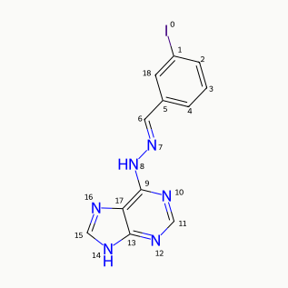 Ic1cccc(C=NNc2ncnc3[nH]cnc23)c1